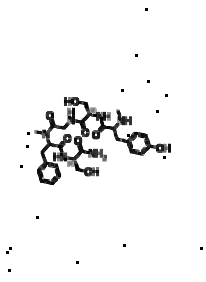 CNC(Cc1ccc(O)cc1)C(=O)N[C@H](CO)C(=O)NCC(=O)N(C)C(Cc1ccccc1)C(=O)N[C@H](CO)C(N)=O